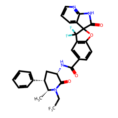 C[C@@H]1[C@H](c2ccccc2)C[C@H](NC(=O)c2ccc3c(c2)C(F)(F)C2(O3)C(=O)Nc3ncccc32)C(=O)N1CC(F)(F)F